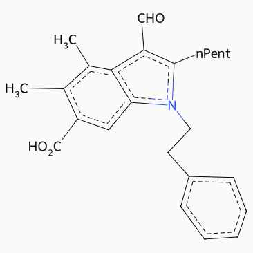 CCCCCc1c(C=O)c2c(C)c(C)c(C(=O)O)cc2n1CCc1ccccc1